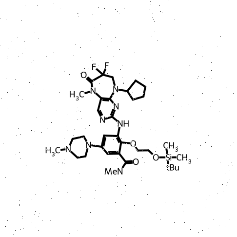 CNC(=O)c1cc(N2CCN(C)CC2)cc(Nc2ncc3c(n2)N(C2CCCC2)CC(F)(F)C(=O)N3C)c1OCCO[Si](C)(C)C(C)(C)C